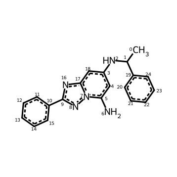 CC(Nc1cc(N)n2nc(-c3ccccc3)nc2c1)c1ccccc1